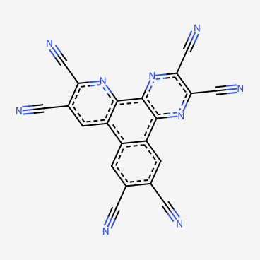 N#Cc1cc2c3cc(C#N)c(C#N)nc3c3nc(C#N)c(C#N)nc3c2cc1C#N